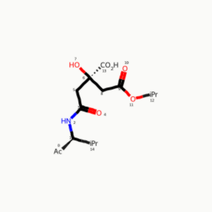 CC(=O)[C@@H](NC(=O)C[C@@](O)(CC(=O)OC(C)C)C(=O)O)C(C)C